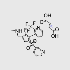 CNCc1cn(S(=O)(=O)c2cccnc2)c(-c2cccnc2C(F)(F)F)c1F.O=C(O)/C=C/C(=O)O